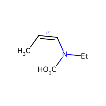 C/C=C\N(CC)C(=O)O